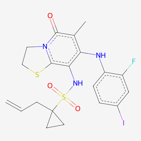 C=CCC1(S(=O)(=O)Nc2c(Nc3ccc(I)cc3F)c(C)c(=O)n3c2SCC3)CC1